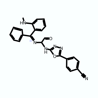 CNc1ccccc1/C(=N\C(C=O)Nc1nnc(-c2ccc(C#N)cc2)o1)c1ccccc1